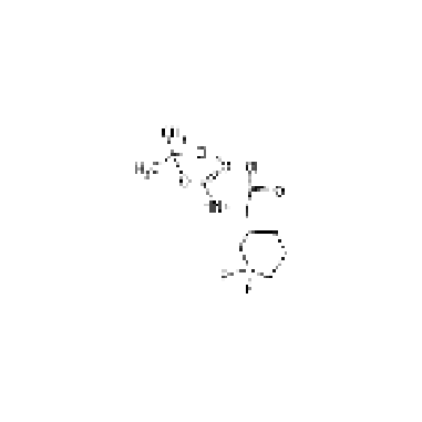 CC(C)(C)OC(=O)N[C@H](C(=O)O)[C@H]1CCCC(F)(F)C1